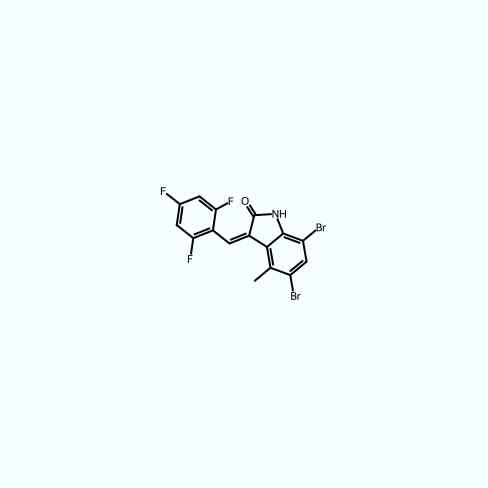 Cc1c(Br)cc(Br)c2c1C(=Cc1c(F)cc(F)cc1F)C(=O)N2